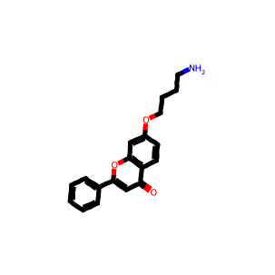 NCCCCOc1ccc2c(=O)cc(-c3ccccc3)oc2c1